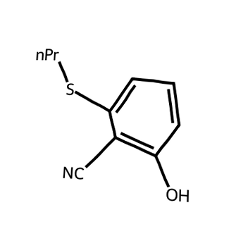 CCCSc1cccc(O)c1C#N